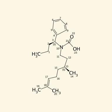 CCC[C@@H](c1ccccc1)N(CC[C@@H](C)CCC=C(C)C)C(=O)O